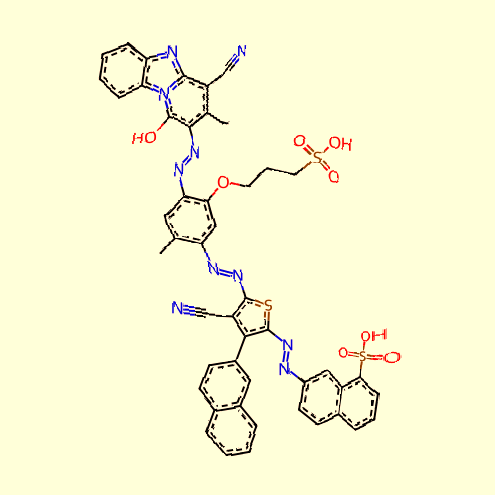 Cc1cc(N=Nc2c(C)c(C#N)c3nc4ccccc4n3c2O)c(OCCCS(=O)(=O)O)cc1N=Nc1sc(N=Nc2ccc3cccc(S(=O)(=O)O)c3c2)c(-c2ccc3ccccc3c2)c1C#N